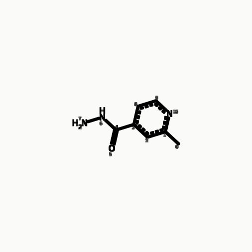 Cc1cc(C(=O)NN)ccn1